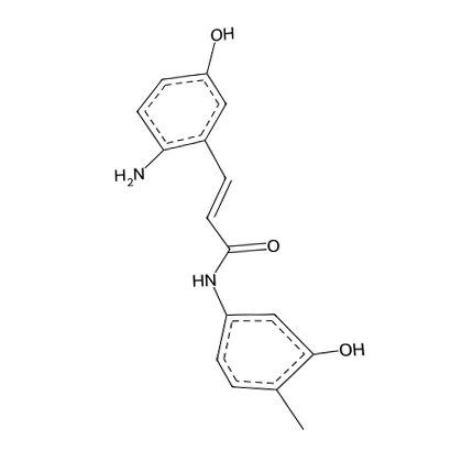 Cc1ccc(NC(=O)C=Cc2cc(O)ccc2N)cc1O